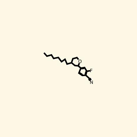 CCCCCCCCC1CCOC(c2ccc(C#N)c(F)c2)C1